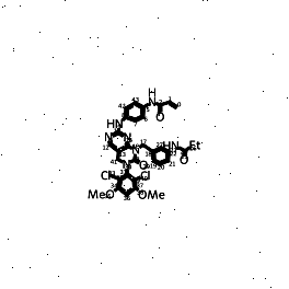 C=CC(=O)Nc1ccc(Nc2ncc3c(n2)N(Cc2cccc(NC(=O)CC)c2)C(=O)N(c2c(Cl)c(OC)cc(OC)c2Cl)C3)cc1